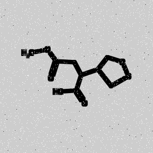 COC(=O)CC(C(=O)O)C1COOC1